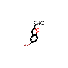 O=Cc1cc2cc(Br)ccc2o1